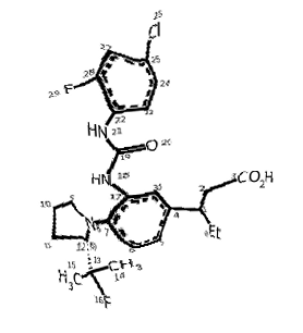 CCC(CC(=O)O)c1ccc(N2CCC[C@H]2C(C)(C)F)c(NC(=O)Nc2ccc(Cl)cc2F)c1